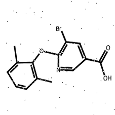 Cc1cccc(C)c1Oc1ncc(C(=O)O)cc1Br